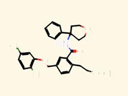 O=C(O)CCc1ccc(COc2cc(Cl)ccc2Cl)cc1C(=O)NC1(c2ccccc2)CCOCC1